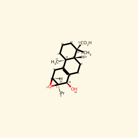 CC(C)[C@]12O[C@H]1CC1=C(CC[C@H]3[C@](C)(C(=O)O)CCC[C@]13C)[C@H]2O